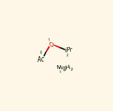 CC(=O)OC(C)C.[MgH2]